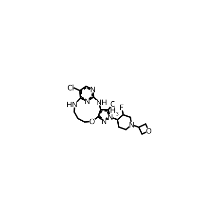 Cc1c2c(nn1C1CCN(C3COC3)CC1F)OCCCNc1nc(ncc1Cl)N2